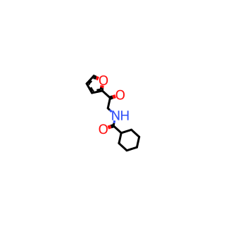 O=C(CNC(=O)C1CCCCC1)c1ccco1